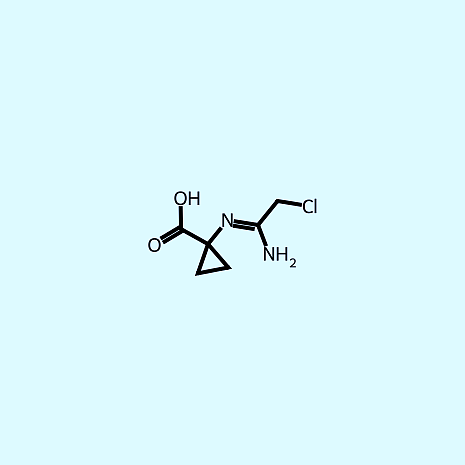 NC(CCl)=NC1(C(=O)O)CC1